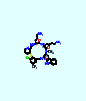 CN1C(=O)[C@H](CCCCN)NC(=O)[C@H](CCCN)NCc2ncccc2Sc2c(Cl)cc(C(F)(F)F)cc2CNC(=O)[C@@H]1Cc1c[nH]c2ccccc12